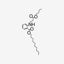 CCCCCCCCCCOC(=O)c1ccccc1NCCC(=O)OCCCC